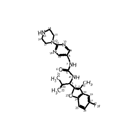 Cc1c(C(NC(=O)Nc2cnc(N3CCNCC3)nc2)C(C)C)oc2ccc(F)cc12